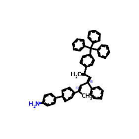 C=C(/C=C(\C=C(/C)c1ccc(-c2ccc(N)cc2)cc1)c1ccccc1)c1ccc(C(c2ccccc2)(c2ccccc2)c2ccccc2)cc1